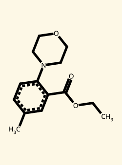 CCOC(=O)c1cc(C)ccc1N1CCOCC1